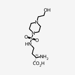 N[C@@H](CCNS(=O)(=O)N1CCN(CCO)CC1)C(=O)O